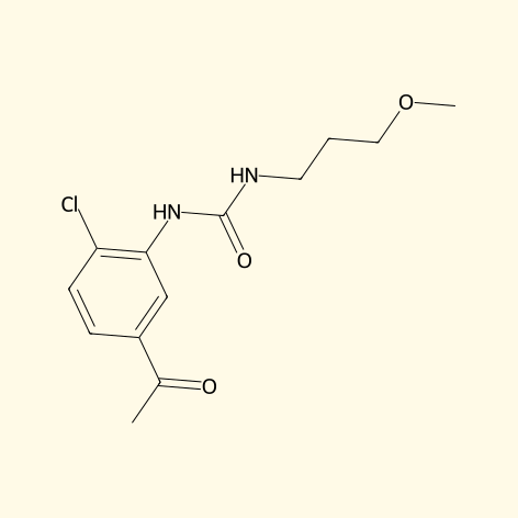 COCCCNC(=O)Nc1cc(C(C)=O)ccc1Cl